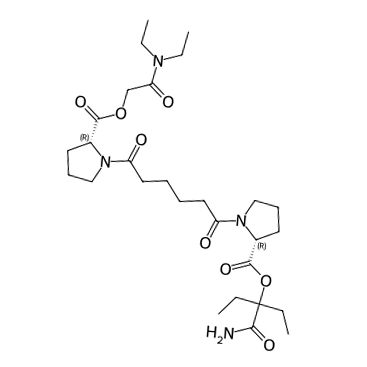 CCN(CC)C(=O)COC(=O)[C@H]1CCCN1C(=O)CCCCC(=O)N1CCC[C@@H]1C(=O)OC(CC)(CC)C(N)=O